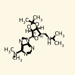 CC(C)NC[C@H]1O[C@@H](n2cnc3c(N(C)C)ncnc32)[C@@H]2OC(C)(C)O[C@@H]21